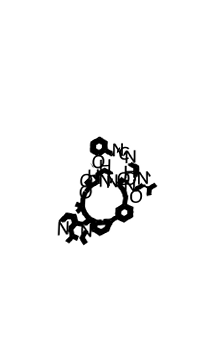 CCn1c(-c2cccnc2C(C)C)c2c3cc(ccc31)-c1cccc(c1)C[C@H](NC(=O)[C@H](C(C)C)N(C)C(=O)CCN=C=NCc1ccccc1OC)C(=O)N1CCC[C@H](N1)C(=O)OCC(C)(C)C2